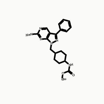 CNc1ncc2c(-c3ccccc3)nn(CC3CCC(NC(=O)OC(C)(C)C)CC3)c2n1